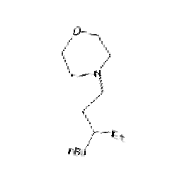 CCCCC(CC)CCN1CCOCC1